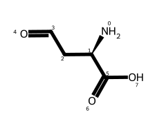 N[C@H](CC=O)C(=O)O